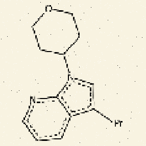 CC(C)c1cn(C2CCOCC2)c2ncccc12